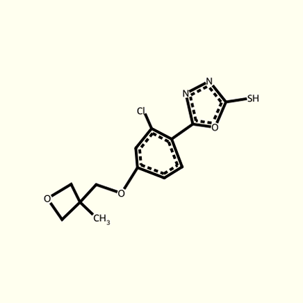 CC1(COc2ccc(-c3nnc(S)o3)c(Cl)c2)COC1